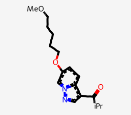 COCCCCCOc1ccc2c(C(=O)C(C)C)cnn2c1